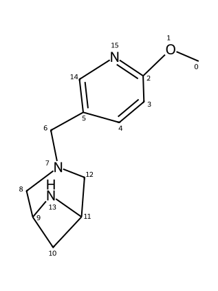 COc1ccc(CN2CC3CC(C2)N3)cn1